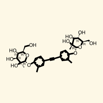 Cc1cc(C#Cc2ccc(O[C@H]3O[C@H](CO)[C@@H](O)[C@H](O)[C@]3(C)O)c(C)c2)ccc1O[C@H]1O[C@H](CO)[C@@H](O)[C@H](O)[C@@]1(C)O